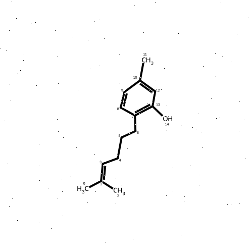 CC(C)=CCCCc1ccc(C)cc1O